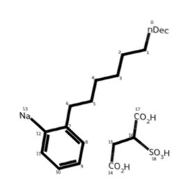 CCCCCCCCCCCCCCCCc1cccc[c]1[Na].O=C(O)CC(C(=O)O)S(=O)(=O)O